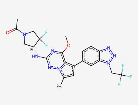 [2H]c1cc(-c2ccc3nnn(CC(F)(F)F)c3c2)c2c(OC)nc(N[C@@H]3CN(C(C)=O)CC3(F)F)nn12